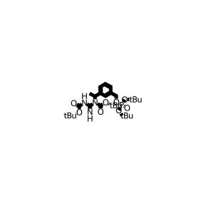 CC(c1cccc(COP(=O)(OC(C)(C)C)OC(C)(C)C)c1)N(C(=N)NC(=O)OC(C)(C)C)C(=O)OC(C)(C)C